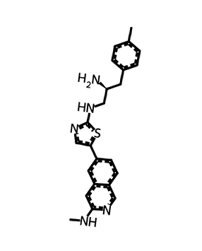 CNc1cc2cc(-c3cnc(NC[C@@H](N)Cc4ccc(C)cc4)s3)ccc2cn1